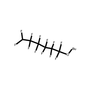 CCC(C)OC(F)(F)C(F)(F)C(F)(F)C(F)(F)C(F)(F)C(F)F